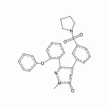 Cn1nc(-c2ccccc2Oc2ccccc2)c(-c2cccc(S(=O)(=O)N3CCCC3)c2)cc1=O